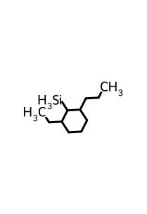 CCCC1CCCC(CC)C1[SiH3]